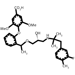 COc1cc(C(=O)O)cc(OC)c1Oc1ccccc1C(C)OC[C@H](O)CNC(C)(C)Cc1ccc(C)c(F)c1